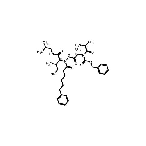 CC(C)CNC(=O)[C@H](C(C)CO)N(NC(=O)[C@H](C)N(C(=O)OCc1ccccc1)C(=O)[C@H](C)N)C(=O)CCCCCc1ccccc1